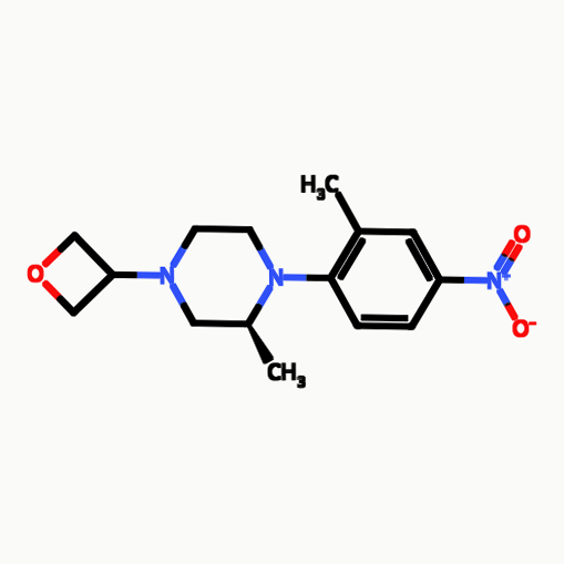 Cc1cc([N+](=O)[O-])ccc1N1CCN(C2COC2)C[C@@H]1C